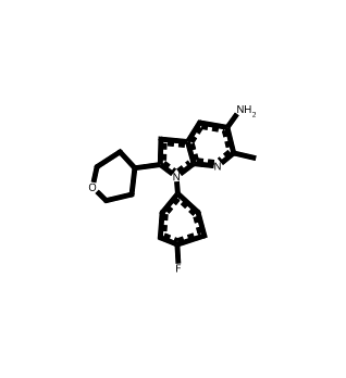 Cc1nc2c(cc1N)cc(C1CCOCC1)n2-c1ccc(F)cc1